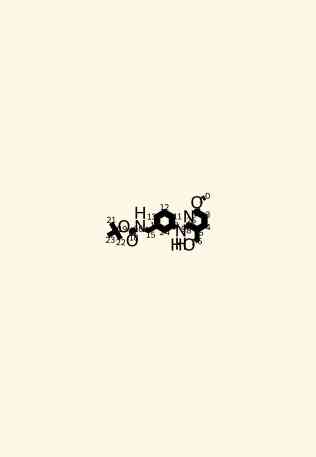 COc1ccc(CO)c(Nc2cccc(CNC(=O)OC(C)(C)C)c2)n1